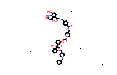 O=C(NCC1CCN(C(=O)COc2cccc([C@](O)(C(=O)OCC3CCN(Cc4ccccc4)CC3)c3ccccc3)c2)CC1)c1ccc(CNC[C@H](O)c2ccc(O)c3[nH]c(=O)ccc23)cc1